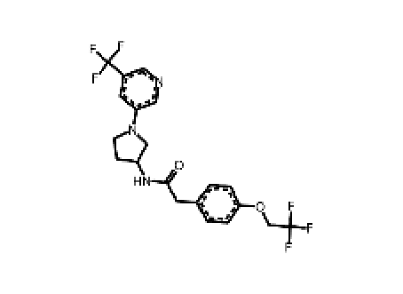 O=C(Cc1ccc(OCC(F)(F)F)cc1)NC1CCN(c2cncc(C(F)(F)F)c2)C1